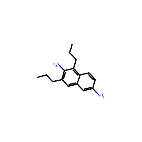 CCCc1cc2cc(N)ccc2c(CCC)c1N